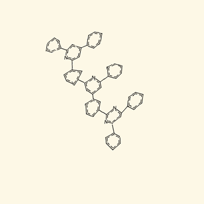 c1ccc(-c2cc(-c3ccccc3)nc(-c3cccc(-c4cc(-c5cccc(-c6nc(-c7ccccc7)cc(-c7ccccc7)n6)c5)cc(-c5ccccc5)n4)c3)c2)cc1